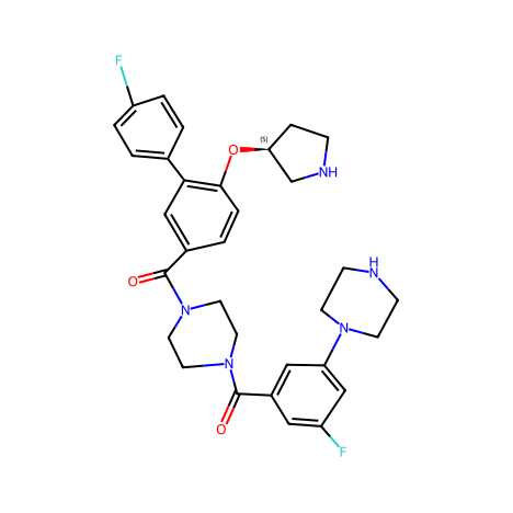 O=C(c1cc(F)cc(N2CCNCC2)c1)N1CCN(C(=O)c2ccc(O[C@H]3CCNC3)c(-c3ccc(F)cc3)c2)CC1